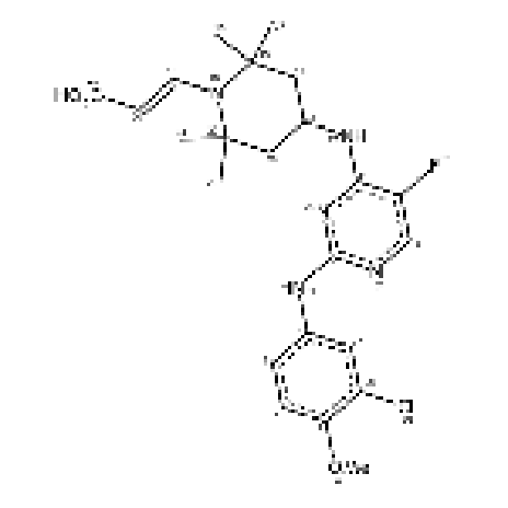 COc1ccc(Nc2ncc(F)c(NC3CC(C)(C)N(C=CC(=O)O)C(C)(C)C3)n2)cc1Cl